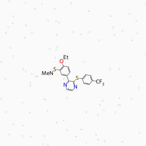 CCOc1ccc(-c2nccnc2Sc2ccc(C(F)(F)F)cc2)cc1SNC